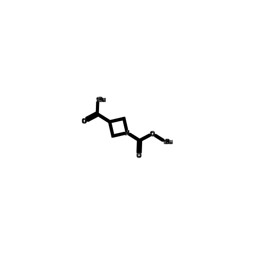 CC(C)(C)OC(=O)N1CC(C(=O)C(C)(C)C)C1